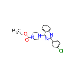 CCOC(=O)N1CCN(c2nc(-c3ccc(Cl)cc3)nc3ccccc23)CC1